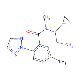 Cc1ccc(-n2nccn2)c(C(=O)N(C)C(CN)C2CC2)n1